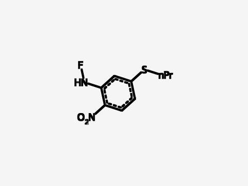 CCCSc1ccc([N+](=O)[O-])c(NF)c1